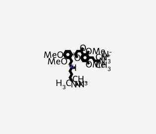 COc1cc2c(c(OC)c1CCC(C)(C)N=[N+]=[N-])C(=O)C[C@@H](c1ccc(OC)c(OC)c1C/C=C(\I)CCCC(C)(C)N=[N+]=[N-])O2